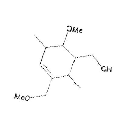 COCC1=CC(C)C(OC)C(CO)C1C